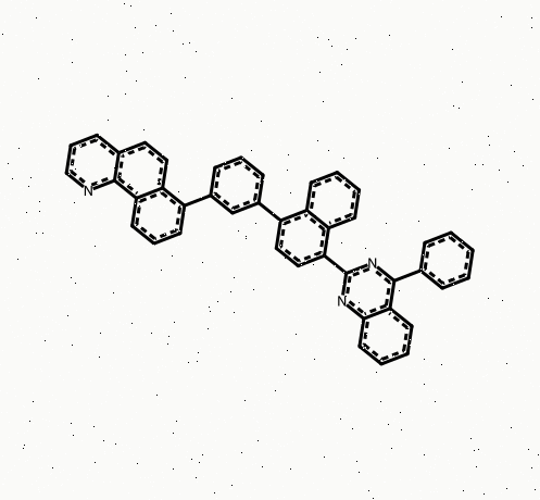 c1ccc(-c2nc(-c3ccc(-c4cccc(-c5cccc6c5ccc5cccnc56)c4)c4ccccc34)nc3ccccc23)cc1